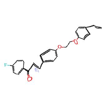 C=Cc1ccc(OCCOc2ccc(/C=C/C(=O)c3ccc(F)cc3)cc2)cc1